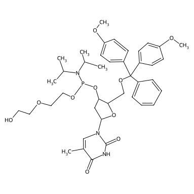 COc1ccc(C(OCC2OC(n3cc(C)c(=O)[nH]c3=O)CC2OP(OCCOCCO)N(C(C)C)C(C)C)(c2ccccc2)c2ccc(OC)cc2)cc1